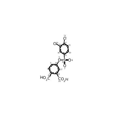 O=C(O)c1ccc(OS(=O)(=O)c2ccc(Cl)c(Cl)c2)cc1C(=O)O